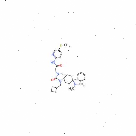 CSc1ccc(NC(=O)CN2C[C@]3(CC[C@](c4ccccc4)(N(C)C)CC3)N(CC3CCC3)C2=O)nc1